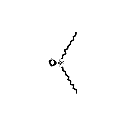 CCCCCCCCCCCCOS(=O)(=O)OCCCCCCCCCCCC.c1ccncc1